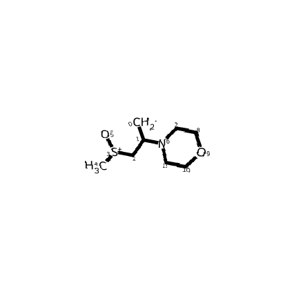 [CH2]C(C[S+](C)[O-])N1CCOCC1